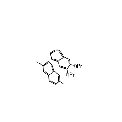 CCCc1cc2ccccc2cc1CCC.Cc1ccc2cc(C)ccc2c1